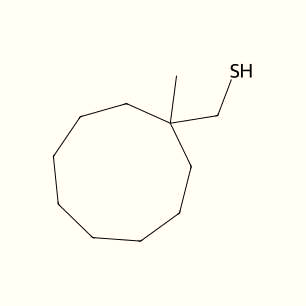 CC1(CS)CCCCCCCC1